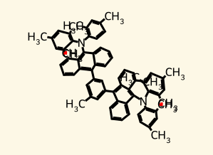 Cc1cc(-c2c3ccccc3c(N(c3ccc(C)cc3C)c3c(C)cc(C)cc3C)c3c(C)cccc23)cc(-c2c3ccccc3c(N(c3ccc(C)cc3C)c3c(C)cc(C)cc3C)c3c(C)cccc23)c1